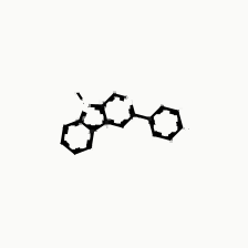 Cn1c2ccccc2c2cc(-c3ccccc3)ncc21